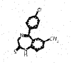 Cc1ccc2c(c1)C(c1ccc(Cl)cc1)=NCC(=S)N2